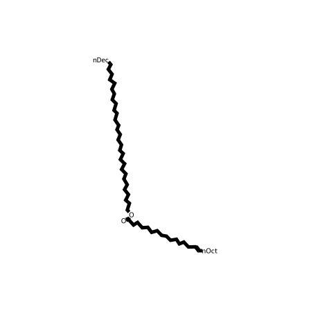 CCCCCCCCC=CCCCCCCCCCCCCCC(=O)OCCCCCCCCCCCCCCCCCCCCCCCCCCCCCCCCCCCCCCCC